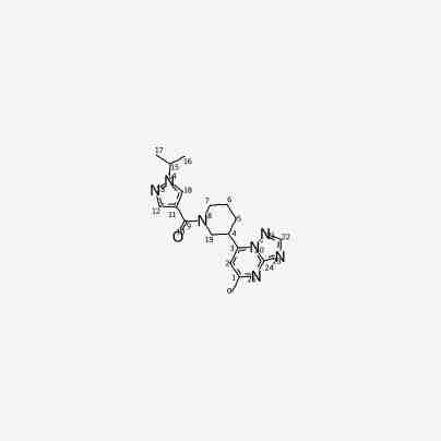 Cc1cc(C2CCCN(C(=O)c3cnn(C(C)C)c3)C2)n2ncnc2n1